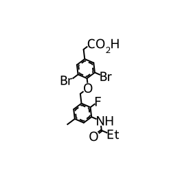 CCC(=O)Nc1cc(C)cc(COc2c(Br)cc(CC(=O)O)cc2Br)c1F